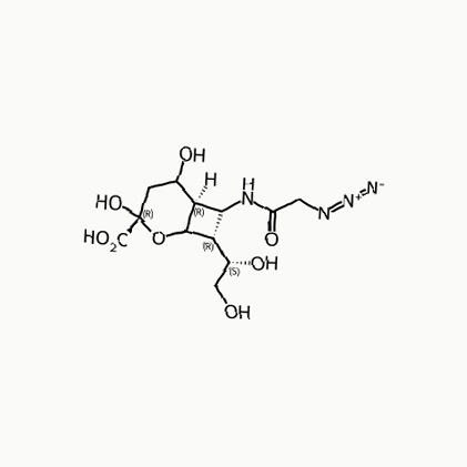 [N-]=[N+]=NCC(=O)NC1[C@@H]2C(O)C[C@](O)(C(=O)O)OC2[C@H]1[C@H](O)CO